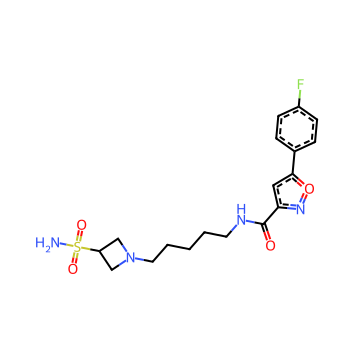 NS(=O)(=O)C1CN(CCCCCNC(=O)c2cc(-c3ccc(F)cc3)on2)C1